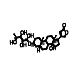 C[C@H](O)C(O)[C@H](O)[C@H](O)O[C@H]1CC[C@]2(C)C3CC[C@]4(C)[C@@H](C5=CC(=O)OC5)CC[C@]4(O)C3CC[C@@H]2C1